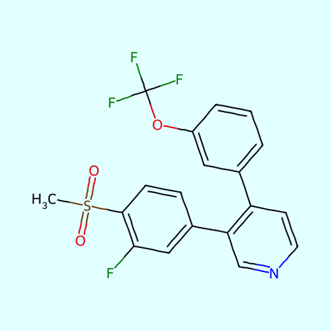 CS(=O)(=O)c1ccc(-c2cnccc2-c2cccc(OC(F)(F)F)c2)cc1F